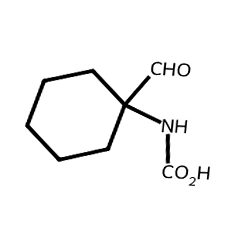 O=CC1(NC(=O)O)CCCCC1